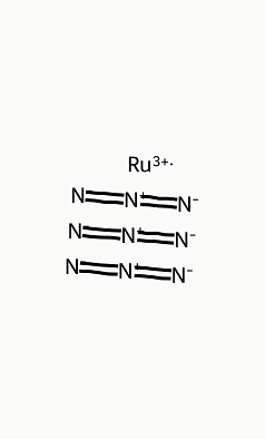 [N-]=[N+]=[N-].[N-]=[N+]=[N-].[N-]=[N+]=[N-].[Ru+3]